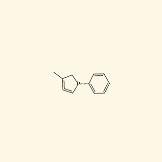 CC1=C=CP(c2ccccc2)C1